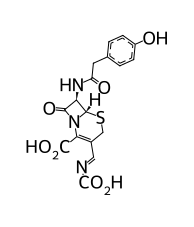 O=C(O)N=CC1=C(C(=O)O)N2C(=O)[C@@H](NC(=O)Cc3ccc(O)cc3)[C@@H]2SC1